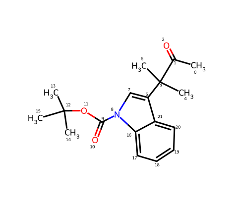 CC(=O)C(C)(C)c1cn(C(=O)OC(C)(C)C)c2ccccc12